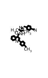 CCc1ccc(-c2cc(C(=O)Nc3c(C)nn(Cc4ccc(C#N)cc4)c3C)c3ccccc3n2)cc1